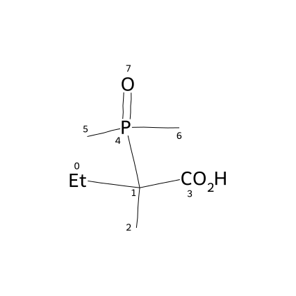 CCC(C)(C(=O)O)P(C)(C)=O